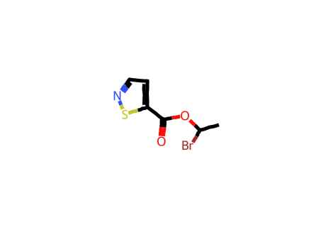 CC(Br)OC(=O)c1ccns1